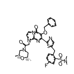 C[C@H]1CN(C(=O)Cn2ccn3c(=O)c(OCc4ccccc4)c(-c4ncc(Cc5ccc(F)cc5S(=O)(=O)N(C)C)s4)nc23)C[C@H](C)O1